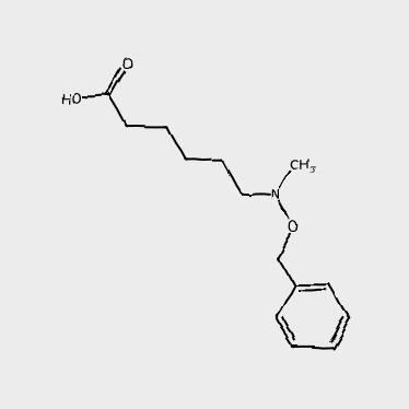 CN(CCCCCC(=O)O)OCc1ccccc1